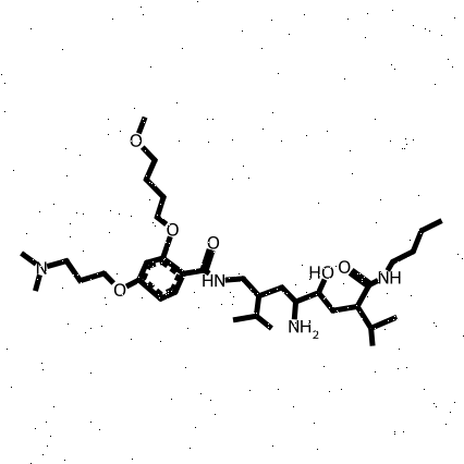 CCCCNC(=O)C(CC(O)C(N)CC(CNC(=O)c1ccc(OCCCN(C)C)cc1OCCCCOC)C(C)C)C(C)C